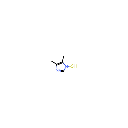 Cc1ncn(S)c1C